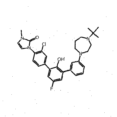 Cn1ccn(-c2ccc(-c3cc(F)cc(-c4cccc(N5CCCN(C(C)(C)C)CC5)c4)c3O)cc2Cl)c1=O